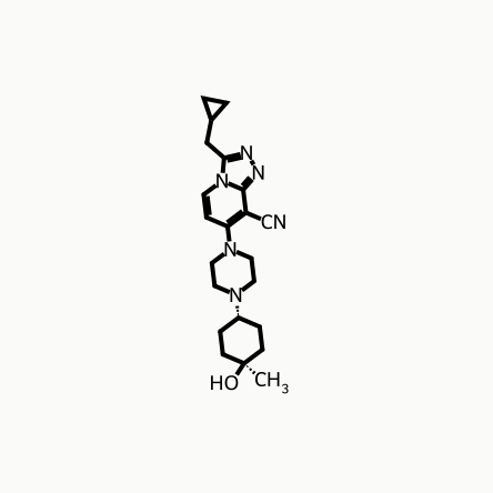 C[C@]1(O)CC[C@H](N2CCN(c3ccn4c(CC5CC5)nnc4c3C#N)CC2)CC1